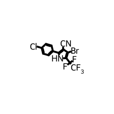 N#Cc1c(-c2ccc(Cl)cc2)[nH]c(C(F)(F)C(F)(F)F)c1Br